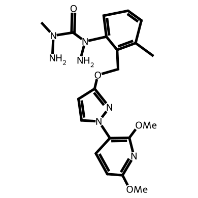 COc1ccc(-n2ccc(OCc3c(C)cccc3N(N)C(=O)N(C)N)n2)c(OC)n1